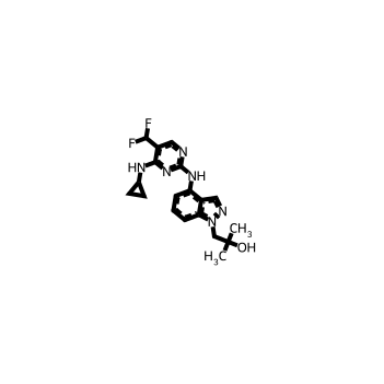 CC(C)(O)Cn1ncc2c(Nc3ncc(C(F)F)c(NC4CC4)n3)cccc21